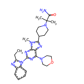 CCc1nc2ccccc2n1-c1nc(N2CCOCC2)c2nc(C3CCN(C(C)(C)C(N)=O)CC3)n(C)c2n1